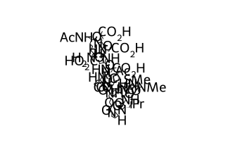 CNC(=O)[C@H](C)NC(=O)[C@H](CSC)NC(=O)CNC(=O)[C@H](CC(C)C)NC(=O)[C@@H]1CCCN1C(=O)COCCNC(=O)[C@H](Cc1ccc(C(C)=O)cc1)NC(=O)[C@@H](CCC(=O)O)NC(=O)[C@@H](CCC(=O)O)NC(=O)[C@@H](CCC(=O)O)NC(=O)[C@@H](CCC(=O)O)NC(=O)[C@@H](CCC(=O)O)NC(=O)[C@@H](CCCCN)NC(C)=O